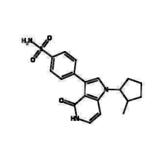 CC1CCCC1n1cc(-c2ccc(S(N)(=O)=O)cc2)c2c(=O)[nH]ccc21